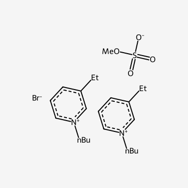 CCCC[n+]1cccc(CC)c1.CCCC[n+]1cccc(CC)c1.COS(=O)(=O)[O-].[Br-]